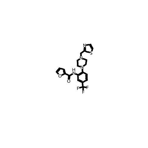 O=C(Nc1cc(C(F)(F)F)ccc1N1CCN(Cc2nccs2)CC1)c1ccco1